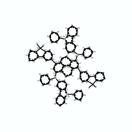 CC1(C)c2ccccc2-c2cc(-c3cc(N(c4ccccc4)c4ccc5c(c4)c4ccccc4n5-c4ccccc4)c4ccc5c(-c6ccc7c(c6)-c6ccccc6C7(C)C)cc(N(c6ccccc6)c6ccc7c(c6)c6ccccc6n7-c6ccccc6)c6ccc3c4c56)ccc21